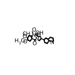 COc1cc2c(cc1OC)N(C=O)[C@@H](O)[C@@H]1CC(c3ccc4ncccc4c3)=CN1C2=O